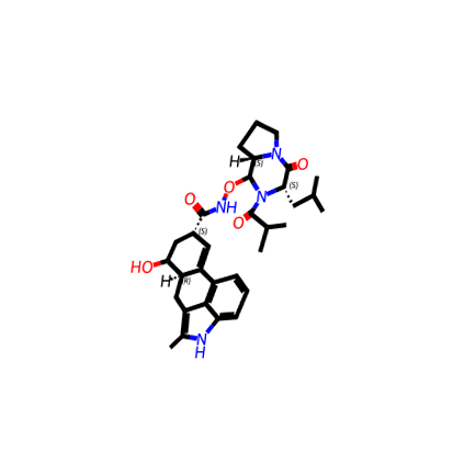 Cc1[nH]c2cccc3c2c1C[C@@H]1C3=C[C@@H](C(=O)NOC2[C@@H]3CCCN3C(=O)[C@H](CC(C)C)N2C(=O)C(C)C)CC1O